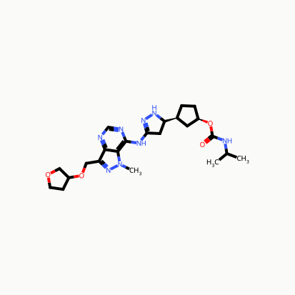 CC(C)NC(=O)O[C@@H]1CC[C@H](C2CC(Nc3ncnc4c(COC5CCOC5)nn(C)c34)=NN2)C1